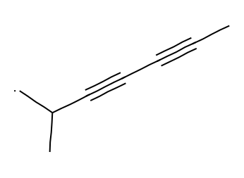 [CH2]C(C)C#CC#CC